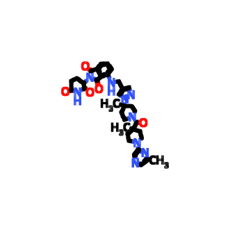 Cc1cncc(N2CCC(C)(C(=O)N3CCC(C)(n4cc(CNc5cccc6c5C(=O)N(C5CCC(=O)NC5=O)C6=O)cn4)CC3)CC2)n1